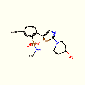 CC(=O)Nc1ccc(-c2cnc(N3CCC(O)CC3)s2)c(S(=O)(=O)NC(C)(C)C)c1